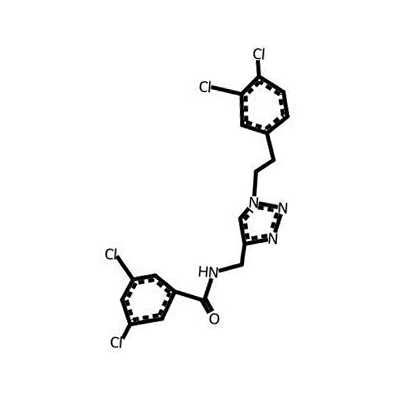 O=C(NCc1cn(CCc2ccc(Cl)c(Cl)c2)nn1)c1cc(Cl)cc(Cl)c1